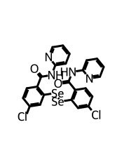 O=C(Nc1ccccn1)c1ccc(Cl)cc1[Se][Se]c1cc(Cl)ccc1C(=O)Nc1ccccn1